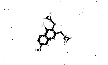 Oc1ccc2c(O)c(CC3CO3)c(CC3CO3)cc2c1